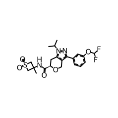 CC(C)n1nc(-c2cccc(OC(F)F)c2)c2c1C[C@H](C(=O)NC1(C)CS(=O)(=O)C1)OC2